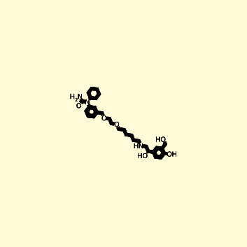 NC(=O)N(c1cccc(COCCOCCCCCCNC[C@H](O)c2ccc(O)c(CO)c2)c1)C1CCCCC1